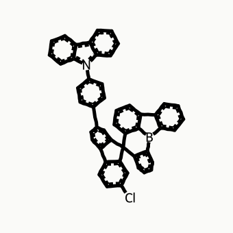 Clc1ccc2c(c1)C1(c3ccccc3B3c4ccccc4-c4cccc1c43)c1cc(-c3ccc(-n4c5ccccc5c5ccccc54)cc3)ccc1-2